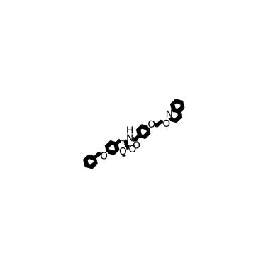 COC(=O)[C@H](Cc1ccc(OCc2ccccc2)cc1)NC(=O)c1ccc(OCCOc2ccc3ccccc3n2)cc1